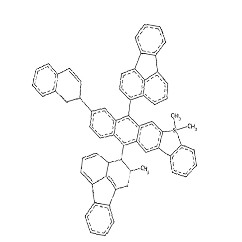 CC1CC2=C3C(=CC=CC3C1c1c3ccc(C4C=Cc5ccccc5C4)cc3c(-c3ccc4c5c(cccc35)-c3ccccc3-4)c3cc4c(cc13)-c1ccccc1[Si]4(C)C)c1ccccc12